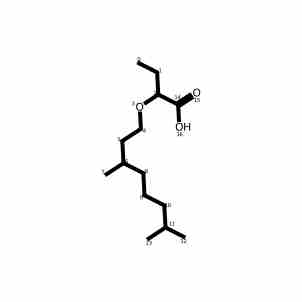 CCC(OCCC(C)CCCC(C)C)C(=O)O